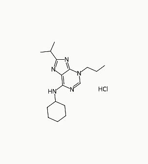 CCCn1cnc(NC2CCCCC2)c2nc(C(C)C)nc1-2.Cl